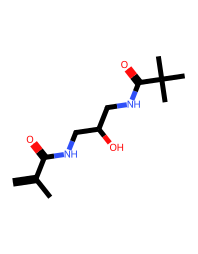 C=C(C)C(=O)NCC(O)CNC(=O)C(C)(C)C